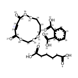 O=C(O)CCCCC(=O)O.O=C(O)c1ccccc1C(=O)O.O=C1/C=C\C(=O)OCCOCCCCO1